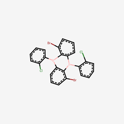 Clc1ccccc1B1c2cccc(Br)c2B(c2ccccc2Cl)c2cccc(Br)c21